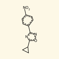 O=[N+]([O-])c1ccc(-c2noc(C3CC3)n2)cc1